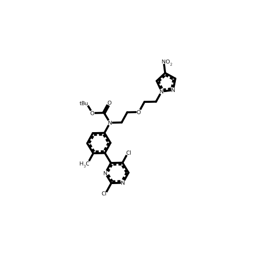 Cc1ccc(N(CCOCCn2cc([N+](=O)[O-])cn2)C(=O)OC(C)(C)C)cc1-c1nc(Cl)ncc1Cl